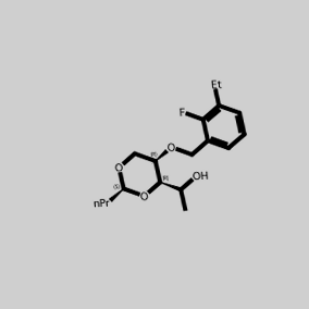 CCC[C@H]1OC[C@@H](OCc2cccc(CC)c2F)[C@@H](C(C)O)O1